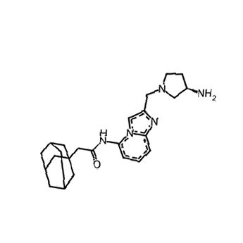 N[C@@H]1CCN(Cc2cn3c(NC(=O)CC45CC6CC(CC(C6)C4)C5)cccc3n2)C1